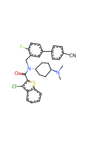 CN(C)[C@H]1CC[C@H](N(Cc2cc(-c3ccc(C#N)cc3)ccc2F)C(=O)c2sc3ccccc3c2Cl)CC1